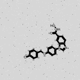 O=C(NO)c1ccc2ncn(-c3ccc(OCc4ccc(Cl)cc4)cc3)c2c1